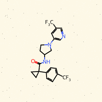 O=C(NC1CCN(c2cncc(C(F)(F)F)c2)C1)C1(c2ccc(C(F)(F)F)cc2)CC1